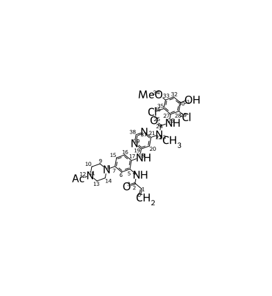 C=CC(=O)Nc1cc(N2CCN(C(C)=O)CC2)ccc1Nc1cc(N(C)C(=O)Nc2c(Cl)c(O)cc(OC)c2Cl)ncn1